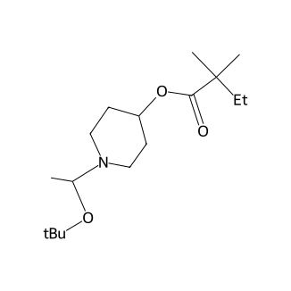 CCC(C)(C)C(=O)OC1CCN(C(C)OC(C)(C)C)CC1